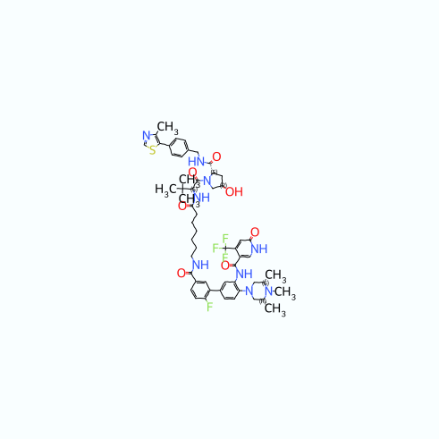 Cc1ncsc1-c1ccc(CNC(=O)[C@@H]2C[C@@H](O)CN2C(=O)[C@@H](NC(=O)CCCCCCNC(=O)c2ccc(F)c(-c3ccc(N4C[C@@H](C)N(C)[C@@H](C)C4)c(NC(=O)c4c[nH]c(=O)cc4C(F)(F)F)c3)c2)C(C)(C)C)cc1